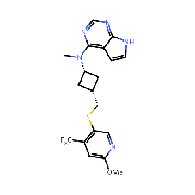 COc1cc(C(F)(F)F)c(SC[C@H]2C[C@@H](N(C)c3ncnc4[nH]ccc34)C2)cn1